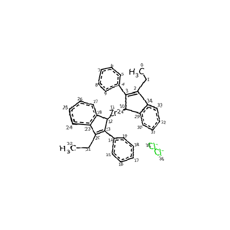 CCC1=C(c2ccccc2)[CH]([Zr+2][CH]2C(c3ccccc3)=C(CC)c3ccccc32)c2ccccc21.[Cl-].[Cl-]